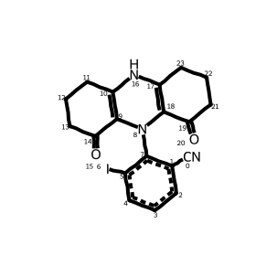 N#Cc1cccc(I)c1N1C2=C(CCCC2=O)NC2=C1C(=O)CCC2